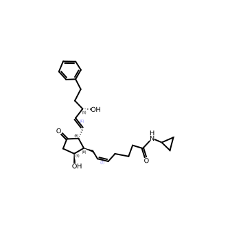 O=C(CCC/C=C\C[C@H]1[C@@H](O)CC(=O)[C@@H]1/C=C/[C@@H](O)CCc1ccccc1)NC1CC1